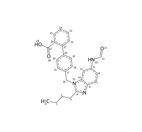 CCCCc1nc2ccc(NC=O)cc2n1Cc1ccc(-c2ccccc2C(=O)O)cc1